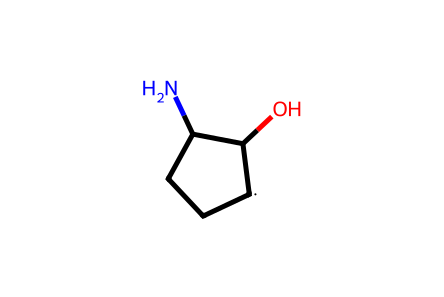 NC1CC[CH]C1O